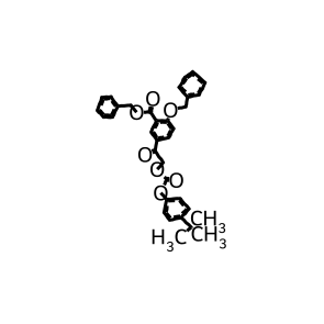 CC(C)(C)c1ccc(OC(=O)OCC(=O)c2ccc(OCc3ccccc3)c(C(=O)OCc3ccccc3)c2)cc1